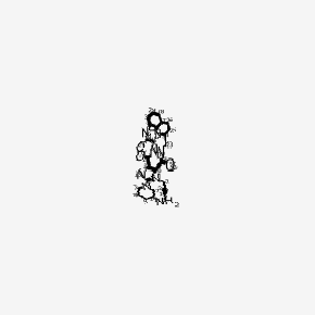 CC#CCn1c(N2CCC[C@@H](N)C2)nc2c(=O)n(CC(N)=O)n(Cc3ccc4ccccc4n3)c(=O)c21